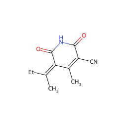 CC/C(C)=C1\C(=O)NC(=O)C(C#N)=C1C